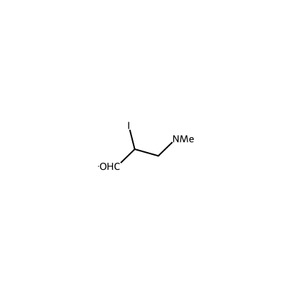 CNCC(I)[C]=O